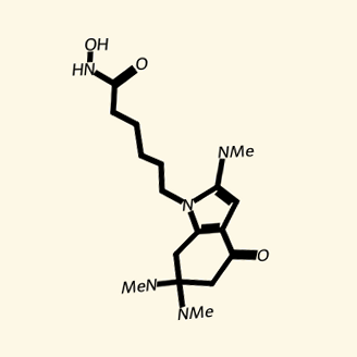 CNc1cc2c(n1CCCCCC(=O)NO)CC(NC)(NC)CC2=O